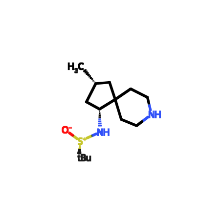 C[C@H]1C[C@@H](N[S@+]([O-])C(C)(C)C)C2(CCNCC2)C1